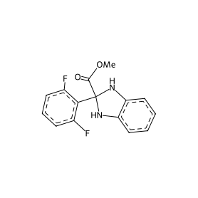 COC(=O)C1(c2c(F)cccc2F)Nc2ccccc2N1